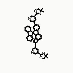 CC1(C)COC(c2cncc(-c3ccc4c(c3)C3(c5ccccc5-c5ccccc53)c3c-4ccc4cc(-c5cncc(C6=NC(C)(C)CO6)c5)ccc34)c2)=N1